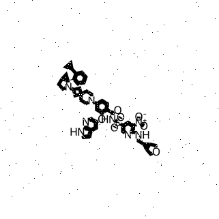 O=C(NS(=O)(=O)c1cnc(NCC2C3COCC23)c([N+](=O)[O-])c1)c1ccc(N2CCC3(CC2)CC(N2CCC4C[C@]42c2ccccc2C2CC2)C3)cc1Oc1cnc2[nH]ccc2c1